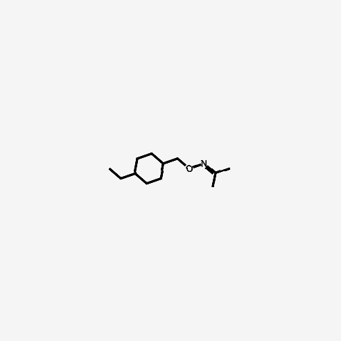 CCC1CCC(CON=C(C)C)CC1